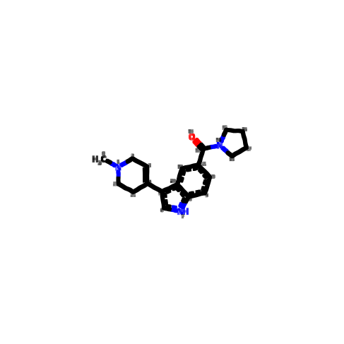 CN1CC=C(c2c[nH]c3ccc(C(=O)N4CCCC4)cc23)CC1